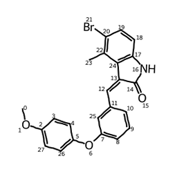 COc1ccc(Oc2cccc(C=C3C(=O)Nc4ccc(Br)c(C)c43)c2)cc1